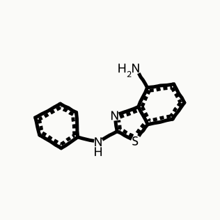 Nc1cccc2sc(Nc3ccccc3)nc12